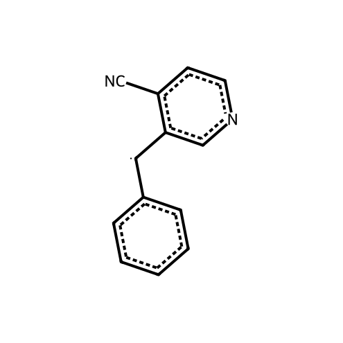 N#Cc1ccncc1[CH]c1ccccc1